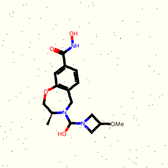 COC1CN(C(O)N2Cc3ccc(C(=O)NO)cc3OC[C@@H]2C)C1